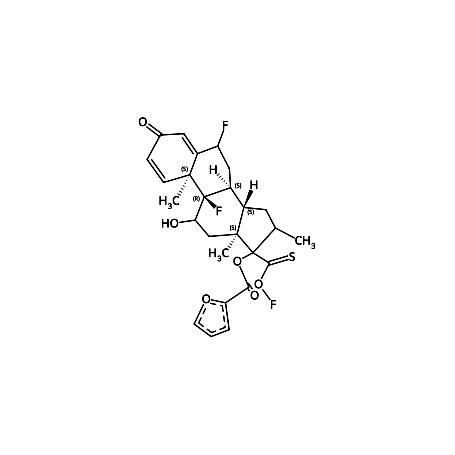 CC1C[C@H]2[C@@H]3CC(F)C4=CC(=O)C=C[C@]4(C)[C@@]3(F)C(O)C[C@]2(C)C1(OC(=O)c1ccco1)C(=S)OF